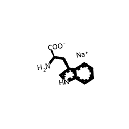 N[C@H](Cc1c[nH]c2ccccc12)C(=O)[O-].[Na+]